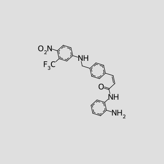 Nc1ccccc1NC(=O)/C=C\c1ccc(CNc2ccc([N+](=O)[O-])c(C(F)(F)F)c2)cc1